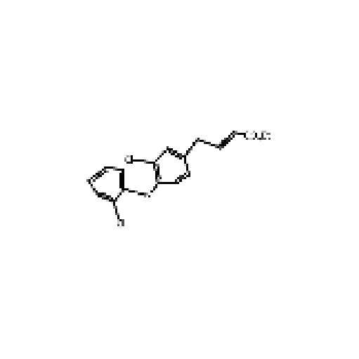 CCOC(=O)C=CCc1ccc(Sc2ccccc2Cl)c(Cl)c1